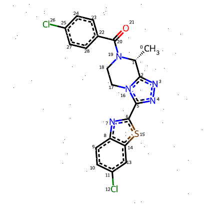 C[C@@H]1c2nnc(-c3nc4ccc(Cl)cc4s3)n2CCN1C(=O)c1ccc(Cl)cc1